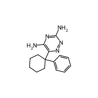 Nc1nnc(C2(c3ccccc3)CCCCC2)c(N)n1